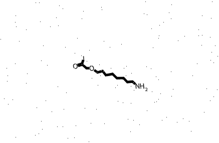 NCCCCCCCCOCC(=O)I